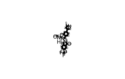 Cn1cc(-c2ccc([C@H](CN3Cc4ccc(OC(F)F)cc4C3=O)NC(=O)NC=O)cc2)cn1